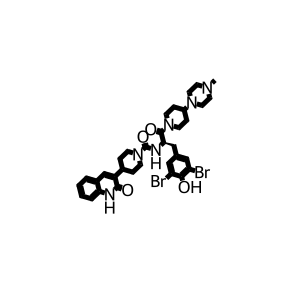 CN1CCN(C2CCN(C(=O)[C@@H](Cc3cc(Br)c(O)c(Br)c3)NC(=O)N3CCC(c4cc5ccccc5[nH]c4=O)CC3)CC2)CC1